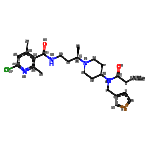 CNCC(=O)N(Cc1ccsc1)C1CCN([C@H](C)CCNC(=O)c2c(C)cc(Cl)nc2C)CC1